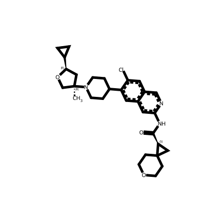 C[C@]1(N2CCC(c3cc4cc(NC(=O)[C@H]5CC56CCOCC6)ncc4cc3Cl)CC2)CO[C@@H](C2CC2)C1